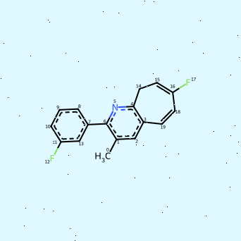 Cc1cc2c(nc1-c1cccc(F)c1)CC=C(F)C=C2